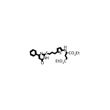 CCOC(=O)CC[C@H](Nc1ccc(CCCSc2nc(-c3ccccc3)cc(=O)[nH]2)s1)C(=O)OCC